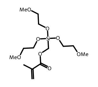 C=C(C)C(=O)OC[Si](OCCOC)(OCCOC)OCCOC